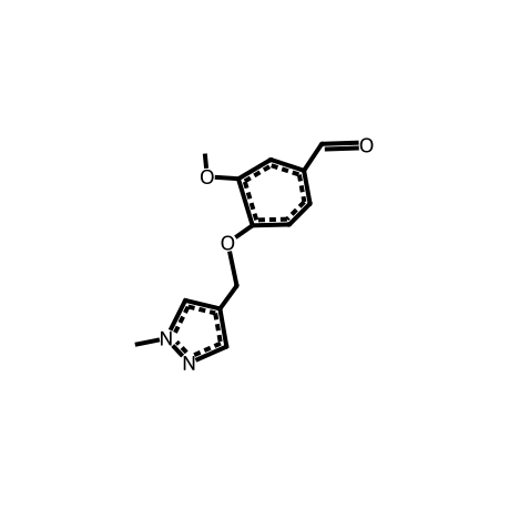 COc1cc(C=O)ccc1OCc1cnn(C)c1